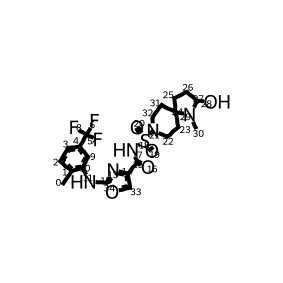 Cc1ccc(C(F)(F)F)cc1Nc1nc(C(=O)NS(=O)(=O)N2CCC3(CCC(O)N3C)CC2)co1